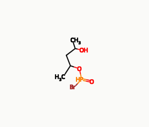 CC(O)CC(C)O[PH](=O)Br